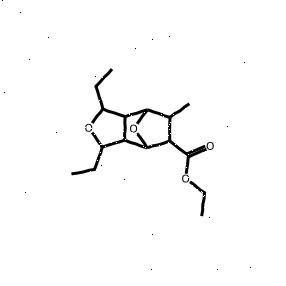 CCOC(=O)C1C(C)C2OC1C1C(CC)OC(CC)C21